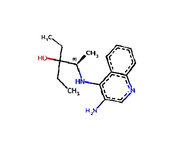 CCC(O)(CC)[C@@H](C)Nc1c(N)cnc2ccccc12